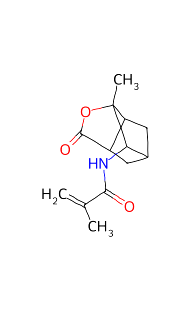 C=C(C)C(=O)NC1C2CC3C(=O)OC1(C)C3C2